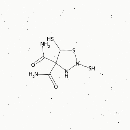 NC(=O)C1(C(N)=O)NN(S)SC1S